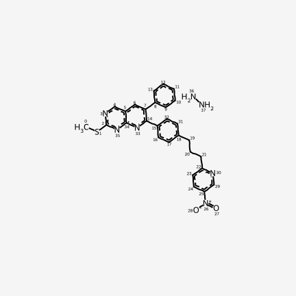 CSc1ncc2cc(-c3ccccc3)c(-c3ccc(CCCc4ccc([N+](=O)[O-])cn4)cc3)nc2n1.NN